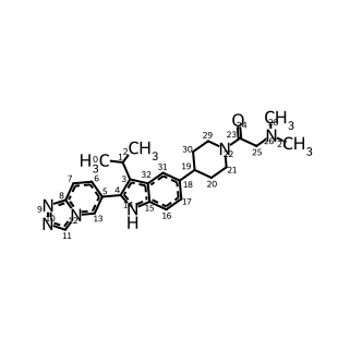 CC(C)c1c(-c2ccc3nncn3c2)[nH]c2ccc(C3CCN(C(=O)CN(C)C)CC3)cc12